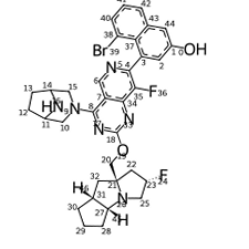 Oc1cc(-c2ncc3c(N4CC5CCC(C4)N5)nc(OC[C@@]45C[C@H](F)CN4[C@@H]4CCC[C@@H]4C5)nc3c2F)c2c(Br)cccc2c1